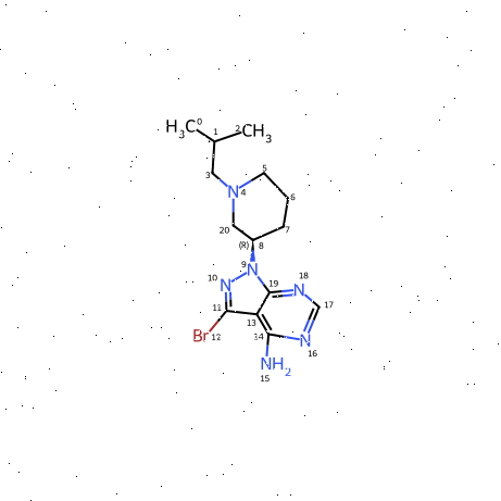 C[C](C)CN1CCC[C@@H](n2nc(Br)c3c(N)ncnc32)C1